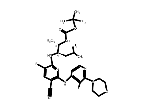 CC(C)C[C@@H](Nc1nc(Nc2ccnc(N3CCOCC3)c2F)c(C#N)cc1F)[C@H](C)NC(=O)OC(C)(C)C